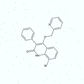 O=c1[nH]c2c(Br)cccc2c(OCc2ccccn2)c1-c1ccccc1